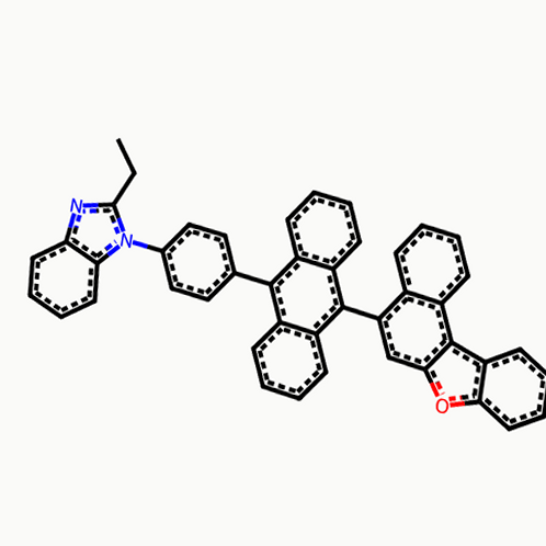 CCc1nc2ccccc2n1-c1ccc(-c2c3ccccc3c(-c3cc4oc5ccccc5c4c4ccccc34)c3ccccc23)cc1